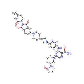 C=C1CCC(N2C(=O)c3ccc(N4CCC(C5CN(c6ccc(Nc7nc(N8CCC[C@@H](N9CCCC9=O)C8)cnc7C(N)=O)cn6)C5)CC4)cc3C2=O)C(=O)N1